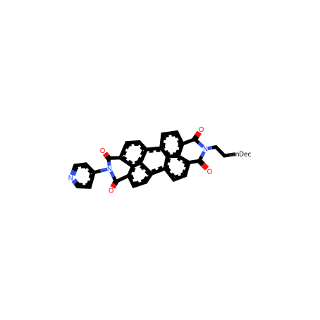 CCCCCCCCCCCCN1C(=O)c2ccc3c4ccc5c6c(ccc(c7ccc(c2c37)C1=O)c64)C(=O)N(c1ccncc1)C5=O